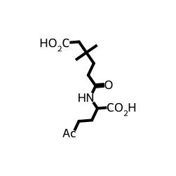 CC(=O)CCC(NC(=O)CCC(C)(C)CC(=O)O)C(=O)O